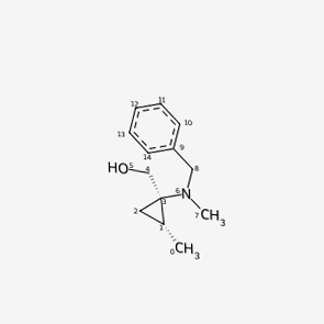 C[C@@H]1C[C@@]1(CO)N(C)Cc1ccccc1